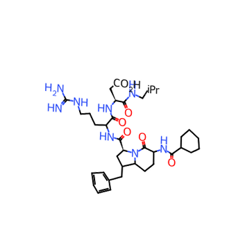 CC(C)CNC(=O)[C@H](CC(=O)O)NC(=O)C(CCCNC(=N)N)NC(=O)[C@@H]1CC(Cc2ccccc2)C2CCC(NC(=O)C3CCCCC3)C(=O)N21